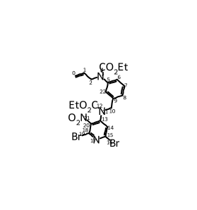 C=CCN(C(=O)OCC)c1cccc(CN(C(=O)OCC)c2cc(Br)nc(Br)c2[N+](=O)[O-])c1